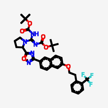 CC(C)(C)OC(=O)N=C(NC(=O)OC(C)(C)C)N1CCCC1c1nc(-c2ccc3cc(OCCc4ccccc4C(F)(F)F)ccc3c2)no1